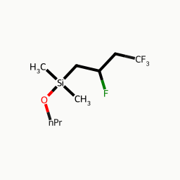 CCCO[Si](C)(C)CC(F)CC(F)(F)F